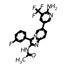 CC(=O)Nc1nc2ccc(-c3cnc(N)c(C(F)(F)F)c3)cn2c1-c1cccc(F)c1